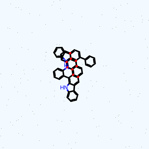 c1ccc(-c2ccc3c([nH]c4ccccc43)c2-c2ccccc2N(c2ccccc2)c2ccccc2-c2c(-c3ccccc3)ccc3c2[nH]c2ccccc23)cc1